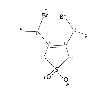 CC(Br)C1=C(C(C)Br)CS(=O)(=O)C1